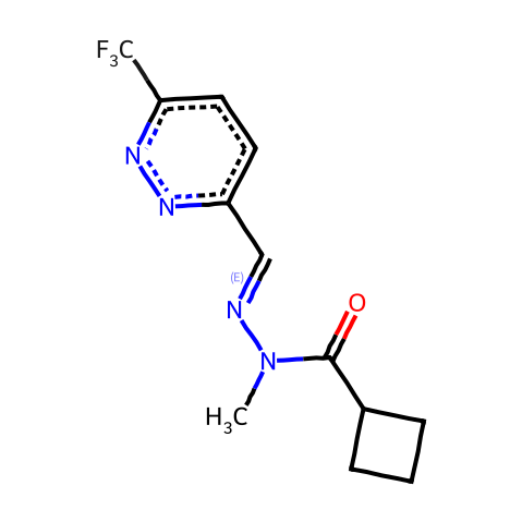 CN(/N=C/c1ccc(C(F)(F)F)nn1)C(=O)C1CCC1